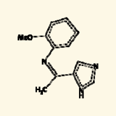 COc1ccccc1N=C(C)c1cnc[nH]1